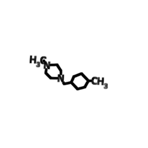 CC1CCC(CN2CCN(C)CC2)CC1